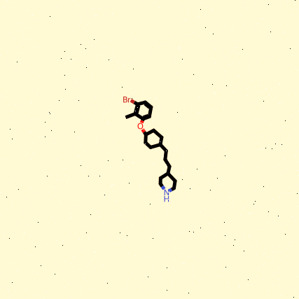 Cc1c(Br)cccc1OC1CCC(CCCC2CCNCC2)CC1